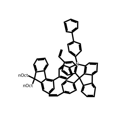 C=Cc1ccc(C2(c3ccc(C=C)cc3)c3ccccc3-c3cccc(N(c4ccc(-c5ccccc5)cc4)c4ccc(-c5cccc6c5-c5ccccc5C6(CCCCCCCC)CCCCCCCC)cc4)c32)cc1